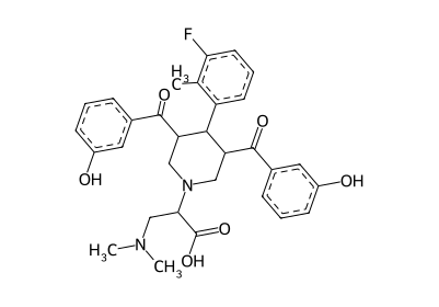 Cc1c(F)cccc1C1C(C(=O)c2cccc(O)c2)CN(C(CN(C)C)C(=O)O)CC1C(=O)c1cccc(O)c1